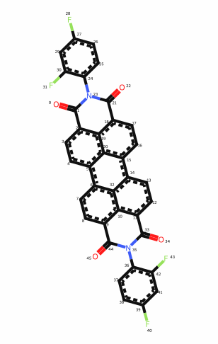 O=C1c2ccc3c4ccc5c6c(ccc(c7ccc(c2c37)C(=O)N1c1ccc(F)cc1F)c64)C(=O)N(c1ccc(F)cc1F)C5=O